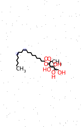 CCCCC/C=C\C/C=C\CCCCCCCC(=O)O[C@@H](C(C)=O)[C@@H](O)[C@H](O)[C@H](O)CO